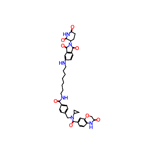 O=C1CCC(N2C(=O)c3ccc(NCCCCCCCCNC(=O)c4ccc(CN(C(=O)c5ccc6c(c5)OCC(=O)N6)C5CC5)cc4)cc3C2=O)C(=O)N1